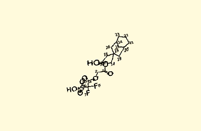 O=C(COC(=O)C(F)(F)S(=O)(=O)O)OCC1(CCO)CC2CCCC(C2)C1